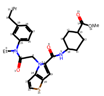 CCN(C(=O)Cn1c(C(=O)NC2CCC(C(=O)OC)CC2)cc2sccc21)c1cccc(CC(C)C)c1